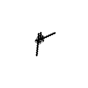 CCCCCCCCCCCCC(OC)=C(OC)C(OCCCCC)OC(OCCCCC)C(OC)=C(CCCCCCCCCCCC)OC